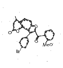 COc1ccccc1C(=O)c1oc2ccc3c(C)cc(=O)oc3c2c1-c1ccc(Br)cc1